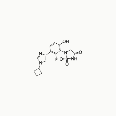 O=C1CN(c2c(O)ccc(-c3cn(C4CCC4)cn3)c2F)S(=O)(=O)N1